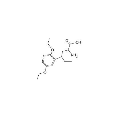 CCOc1ccc(OCC)c(C(CC)CC(N)C(=O)O)c1